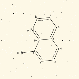 Fc1cc[c]c2cccnc12